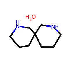 C1CNCC2(C1)CCCNC2.O